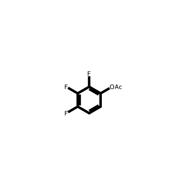 CC(=O)Oc1ccc(F)c(F)c1F